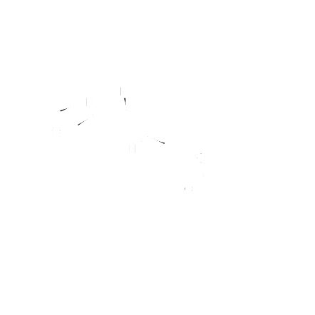 CCCC(CCC)C(=O)OC1CC[C@@]2(C)C(=CC[C@H]3[C@@H]4CC[C@H](C(C)=O)[C@@]4(C)CC[C@@H]32)C1